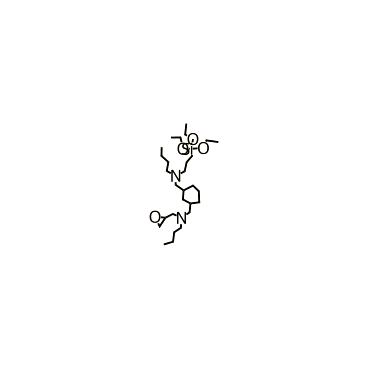 CCCCN(CCC[Si](OCC)(OCC)OCC)CC1CCCC(CN(CCCC)CC2CO2)C1